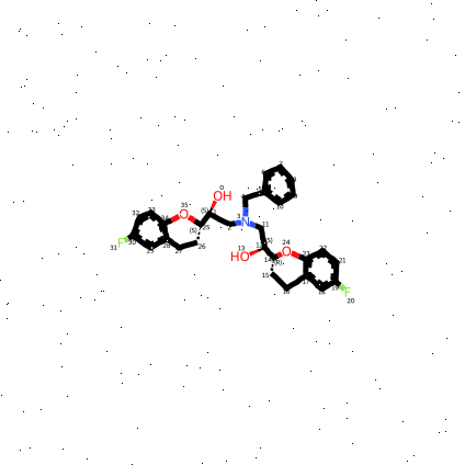 O[C@@H](CN(Cc1ccccc1)C[C@H](O)[C@H]1CCc2cc(F)ccc2O1)[C@@H]1CCc2cc(F)ccc2O1